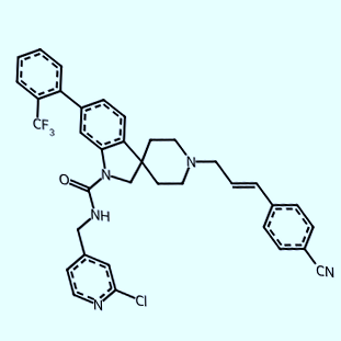 N#Cc1ccc(C=CCN2CCC3(CC2)CN(C(=O)NCc2ccnc(Cl)c2)c2cc(-c4ccccc4C(F)(F)F)ccc23)cc1